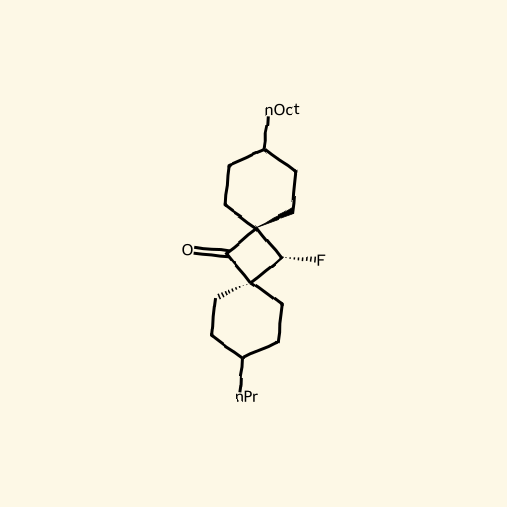 CCCCCCCCC1CC[C@]2(CC1)C(=O)[C@@]1(CCC(CCC)CC1)[C@H]2F